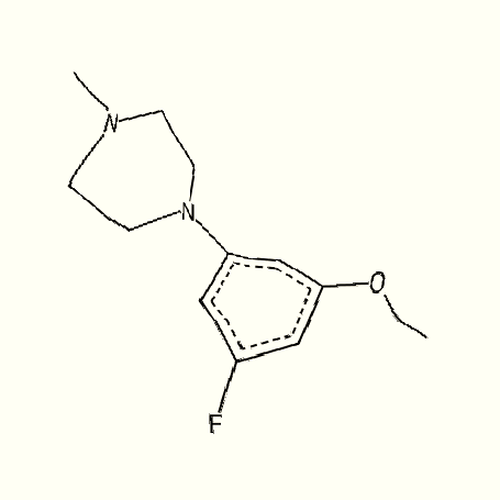 COc1cc(F)cc(N2CCN(C)CC2)c1